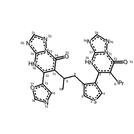 CC(C)c1c(-c2cscc2CC(C)c2c(-c3cnco3)[nH]c3ncnn3c2=O)[nH]c2ncnn2c1=O